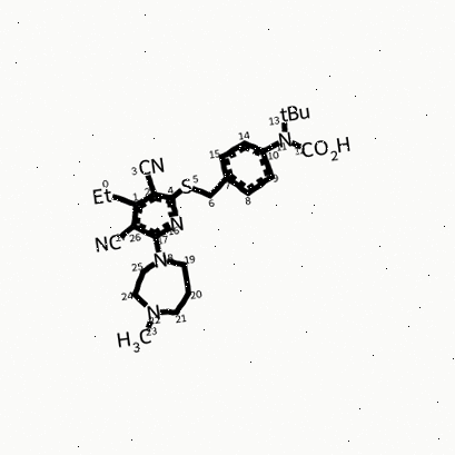 CCc1c(C#N)c(SCc2ccc(N(C(=O)O)C(C)(C)C)cc2)nc(N2CCCN(C)CC2)c1C#N